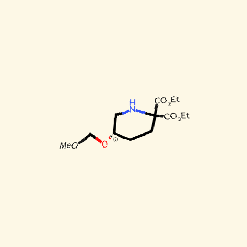 CCOC(=O)C1(C(=O)OCC)CC[C@H](OCOC)CN1